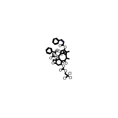 CC(=O)OC12COC1C[C@H](OC(=O)OCC(Cl)(Cl)Cl)[C@@]1(C)C(=O)C(C)C3=C(C)C(OC(=O)/C=C\c4ccccc4)C[C@@](O)([C@@H](OC(=O)c4ccccc4)[C@H]21)C3(C)C